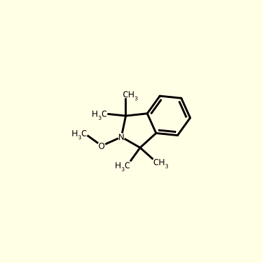 CON1C(C)(C)c2ccccc2C1(C)C